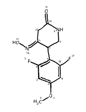 COc1cc(F)c(C2CNC(=O)CC2=NO)c(F)c1